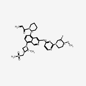 C=CC(=O)N1CCCC[C@H]1c1ccc(N2C[C@H](CS(C)(=O)=O)[C@H]2C)c2cnc(Nc3ccnc(N4CC[C@H](OC)[C@H](F)C4)n3)cc12